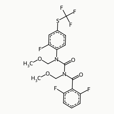 COCN(C(=O)c1c(F)cccc1F)C(=O)N(COC)c1ccc(SC(F)(F)F)cc1F